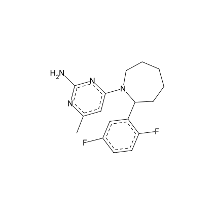 Cc1cc(N2CCCCCC2c2cc(F)ccc2F)nc(N)n1